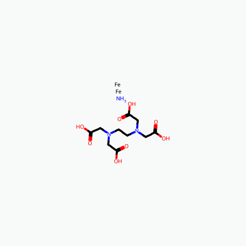 N.O=C(O)CN(CCN(CC(=O)O)CC(=O)O)CC(=O)O.[Fe].[Fe]